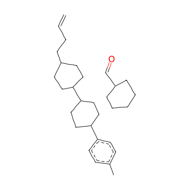 C=CCCC1CCC(C2CCC(c3ccc(C)cc3)CC2)CC1.O=CC1CCCCC1